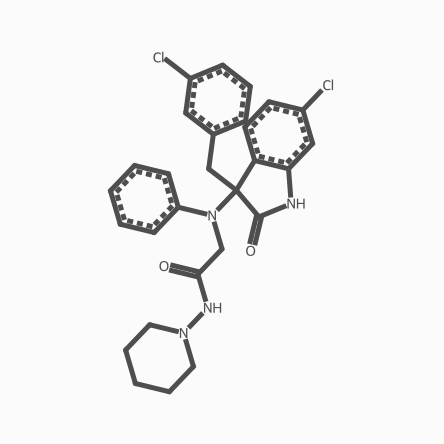 O=C(CN(c1ccccc1)C1(Cc2cccc(Cl)c2)C(=O)Nc2cc(Cl)ccc21)NN1CCCCC1